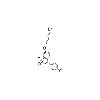 O=S1(=O)C=C(c2ccc(Cl)cc2)c2ccc(OCCCCCBr)cc21